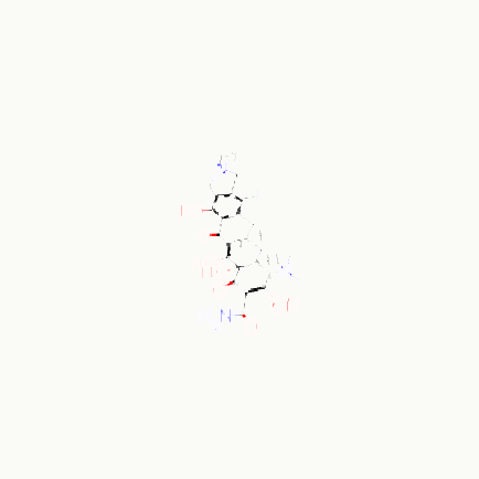 CC(C)N1Cc2c(O)c3c(c(F)c2C1)C[C@H]1C[C@H]2[C@H](N(C)C)C(O)=C(C(N)=O)C(=O)[C@@]2(O)C(O)=C1C3=O